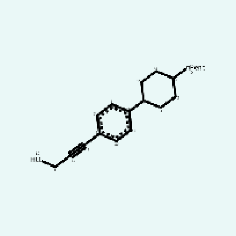 CCCCCC1CCC(c2ccc(C#CCO)cc2)CC1